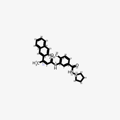 C/C(=C/C(=O)Nc1cc(C(=O)NN2CCCC2)ccc1C(=O)O)c1ccc2ccccc2c1